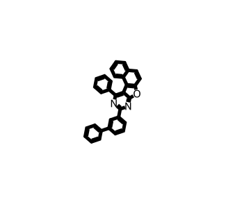 c1ccc(-c2cccc(-c3nc(-c4ccccc4)c4c(n3)oc3ccc5ccccc5c34)c2)cc1